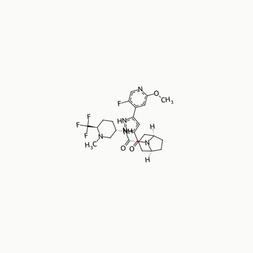 COc1cc(-c2cc(C(=O)N3[C@@H]4CC[C@H]3C[C@H](C(=O)N[C@H]3CC[C@H](C(F)(F)F)N(C)C3)C4)n[nH]2)c(F)cn1